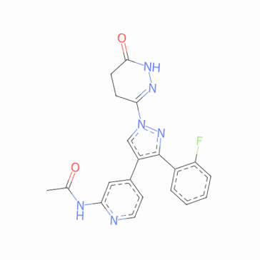 CC(=O)Nc1cc(-c2cn(C3=NNC(=O)CC3)nc2-c2ccccc2F)ccn1